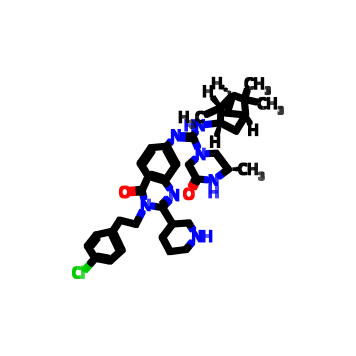 C[C@H]1[C@@H](NC(=Nc2ccc3c(=O)n(CCc4ccc(Cl)cc4)c(C4CCCNC4)nc3c2)N2CC(=O)N[C@@H](C)C2)C[C@@H]2C[C@@H]1C2(C)C